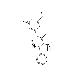 C=NN(/C(NC)=C(/C)CC(=C/N(C)C)/C=C/CC)c1ccccc1